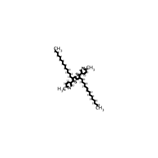 CCCCCCCCCCCCCCc1c(-c2ccc(C)nc2)sc2c(CCCCCCCCCCCCCC)c(-c3ccc(C)nc3)sc12